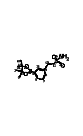 CC1(C)OB(c2cccc(CCS(N)(=O)=O)c2)OC1(C)C